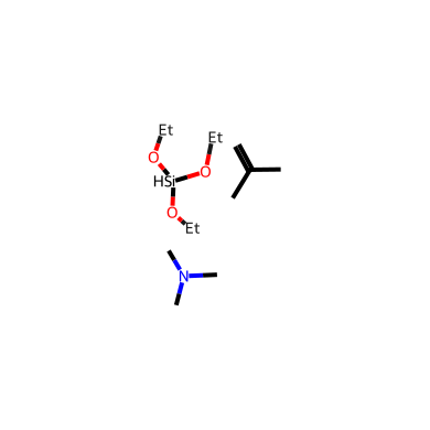 C=C(C)C.CCO[SiH](OCC)OCC.CN(C)C